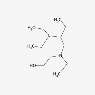 CCC(CN(CC)CCO)N(CC)CC